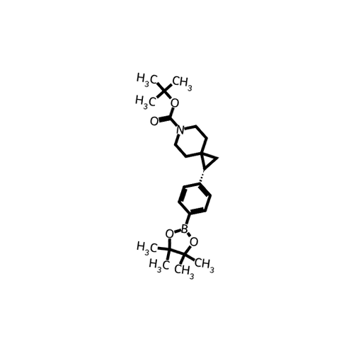 CC(C)(C)OC(=O)N1CCC2(CC1)C[C@@H]2c1ccc(B2OC(C)(C)C(C)(C)O2)cc1